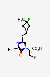 Cc1nc(CCN2CC(C)(F)C2)cn([C@@H](CC(C)C)C(=O)O)c1=O